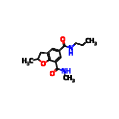 CCCNC(=O)c1cc2c(c(C(=O)NC)c1)OC(C)C2